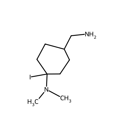 CN(C)C1(I)CCC(CN)CC1